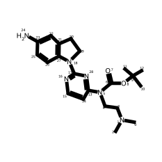 CN(C)CCN(C(=O)OC(C)(C)C)c1ccnc(N2CCc3cc(N)ccc32)n1